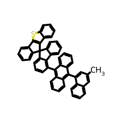 Cc1cc(-c2c3ccccc3c(-c3cccc4c3-c3ccccc3C43c4ccccc4-c4sc5ccccc5c43)c3ccccc23)c2ccccc2c1